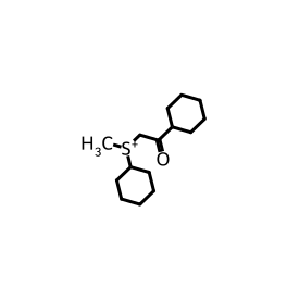 C[S+](CC(=O)C1CCCCC1)C1CCCCC1